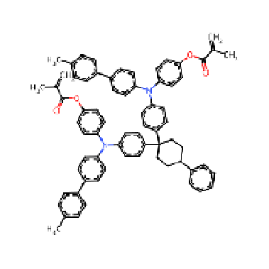 C=C(C)C(=O)Oc1ccc(N(c2ccc(-c3ccc(C)cc3)cc2)c2ccc(C3(c4ccc(N(c5ccc(OC(=O)C(=C)C)cc5)c5ccc(-c6ccc(C)cc6)cc5)cc4)CCC(c4ccccc4)CC3)cc2)cc1